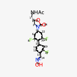 CC(=O)NC[C@H]1CN(c2cc(F)c(-c3ccc(/C=N/O)c(F)c3)c(F)c2)C(=O)O1